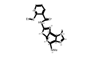 CCSc1ncccc1C(=O)Nc1nc2c(nc(NC)c3ncn(C)c32)s1